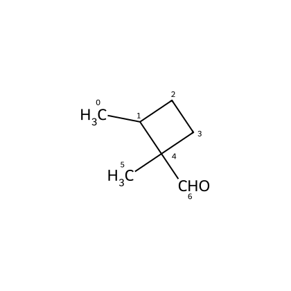 CC1CCC1(C)C=O